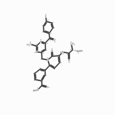 CNC(=O)c1cccc(-c2ccc(NC(=O)[C@H](C)NC)c(=O)n2Cc2cc(C(=O)c3ccc(F)cc3)nc(C)n2)c1